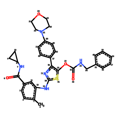 Cc1ccc(C(=O)NC2CC2)cc1Nc1nc(-c2ccc(N3CCOCC3)cc2)c(OC(=O)NCc2ccccc2)s1